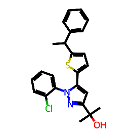 CC(c1ccccc1)c1ccc(-c2cc(C(C)(C)O)nn2-c2ccccc2Cl)s1